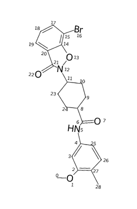 COc1cc(NC(=O)C2CCC(n3oc4c(Br)cccc4c3=O)CC2)ccc1C